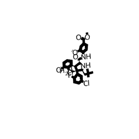 COC(=O)c1ccc(NC(=O)[C@@H]2N[C@@H](CC(C)(C)C)[C@](CN)(c3cc(Cl)ccc3F)[C@H]2c2cccc(Cl)c2Cl)c(OC)c1